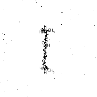 CC1CN(CCOCCOCCOCCNC(=O)CCCCC[C@H]2NC(=O)N[C@H]2C)NN1